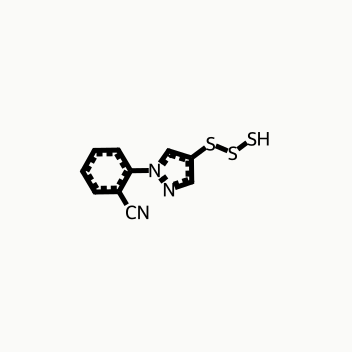 N#Cc1ccccc1-n1cc(SSS)cn1